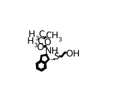 CC(C)(C)OC(=O)NC1Cc2ccccc2[C@H]1CSCCO